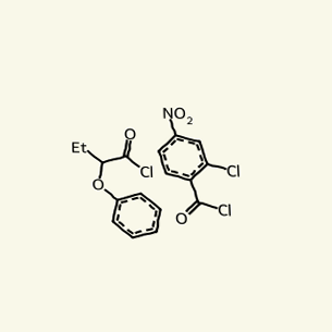 CCC(Oc1ccccc1)C(=O)Cl.O=C(Cl)c1ccc([N+](=O)[O-])cc1Cl